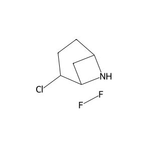 ClC1CCC2CC1N2.FF